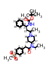 CCN(C(=O)Cc1ccc(S(C)(=O)=O)cc1)C1CCN(C(C)C[C@H](NC(=O)OC(C)(C)C)c2ccccc2)CC1